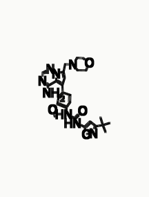 COc1cc(-c2cc(CN3CCOCC3)n3ncnc(N)c23)ccc1NC(=O)Nc1cc(C(C)(C)C)no1